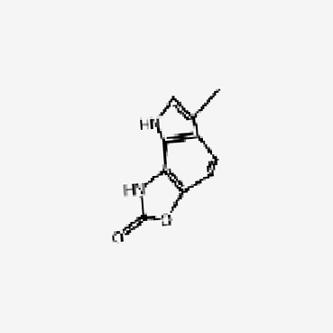 Cc1c[nH]c2c1ccc1oc(=O)[nH]c12